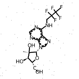 C[C@@]1(O)[C@H](O)[C@@H](CO)O[C@H]1n1cnc2c(NCC(F)(F)C(F)(F)F)ncnc21